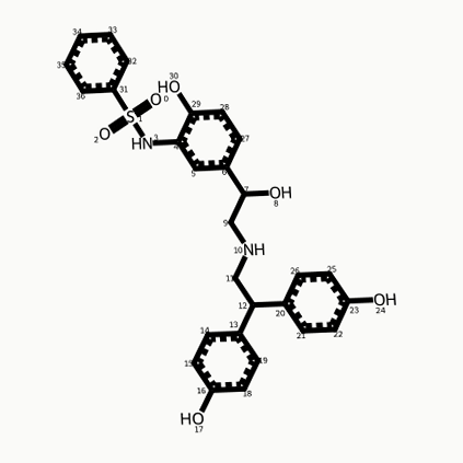 O=S(=O)(Nc1cc(C(O)CNCC(c2ccc(O)cc2)c2ccc(O)cc2)ccc1O)c1ccccc1